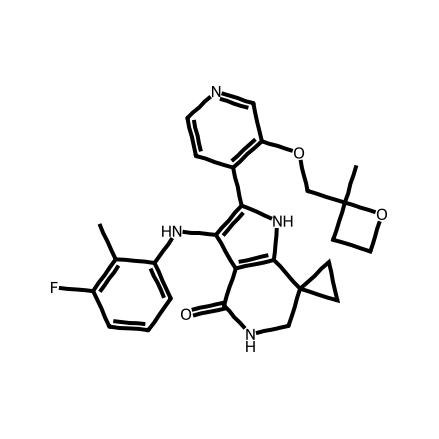 Cc1c(F)cccc1Nc1c(-c2ccncc2OCC2(C)CCO2)[nH]c2c1C(=O)NCC21CC1